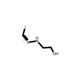 OCCN/N=C\I